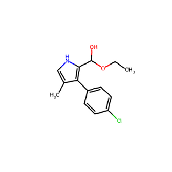 CCOC(O)c1[nH]cc(C)c1-c1ccc(Cl)cc1